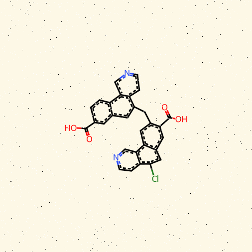 O=C(O)c1ccc2c(c1)cc(Cc1cc3c(cc1C(=O)O)cc(Cl)c1ccncc13)c1ccncc12